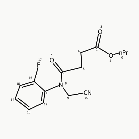 CCCOC(=O)CCC(=O)N(CC#N)c1ccccc1F